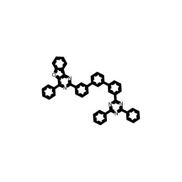 c1ccc(-c2nc(-c3ccccc3)nc(-c3cccc(-c4cccc(-c5cccc(-c6nc(-c7ccccc7)c7oc8ccccc8c7n6)c5)c4)c3)n2)cc1